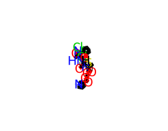 Cc1onc(-c2c(Cl)cccc2Cl)c1C(=O)N[C@H]1C(=O)N2[C@H]1SC(C)(C)[C@H]2C(=O)OCOC(=O)C1=CN(C)C=CC1